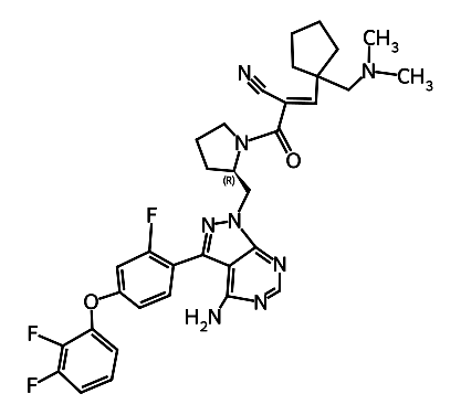 CN(C)CC1(C=C(C#N)C(=O)N2CCC[C@@H]2Cn2nc(-c3ccc(Oc4cccc(F)c4F)cc3F)c3c(N)ncnc32)CCCC1